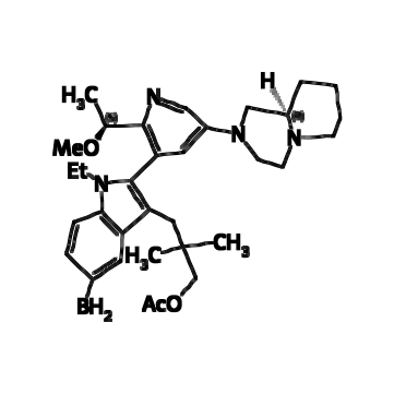 Bc1ccc2c(c1)c(CC(C)(C)COC(C)=O)c(-c1cc(N3CCN4CCCC[C@@H]4C3)cnc1[C@H](C)OC)n2CC